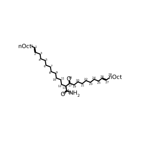 CCCCCCCCC=CCCCCCCCCCCC(C(N)=O)C(=O)CCCCCCCC=CCCCCCCCC